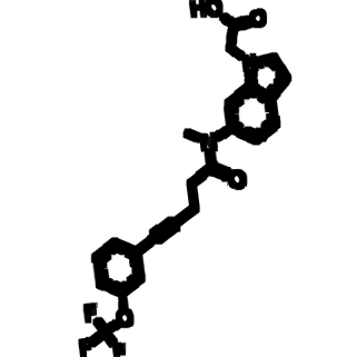 CN(C(=O)CCC#Cc1cccc(OC(F)(F)F)c1)c1ccc2ccn(CC(=O)O)c2c1